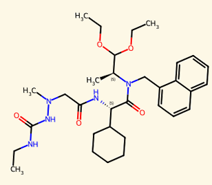 CCNC(=O)NN(C)CC(=O)N[C@H](C(=O)N(Cc1cccc2ccccc12)[C@@H](C)C(OCC)OCC)C1CCCCC1